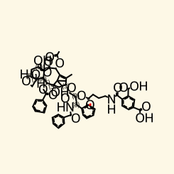 CC(=O)OC1C(=O)C2(C)[C@@H](O)C[C@H]3OC[C@@]3(OC(C)=O)[C@H]2[C@H](OC(=O)c2ccccc2)[C@]2(O)C[C@H](OC(=O)[C@H](OC(=O)CCCNC(=O)c3ccc(C(=O)O)cc3C(=O)O)[C@@H](NC(=O)c3ccccc3)c3ccccc3)C(C)=C1C2(C)C